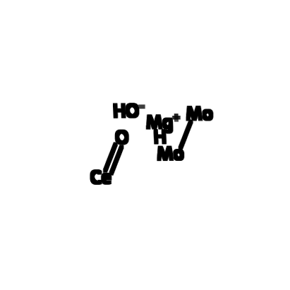 [MgH+].[Mo][Mo].[OH-].[O]=[Ce]